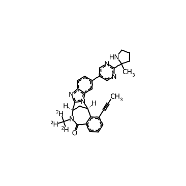 [2H]C([2H])([2H])N1C(=O)c2cccc(C#CC)c2[C@H]2C[C@@H]1c1nc3ccc(-c4cnc(C5(C)CCCN5)nc4)cc3n12